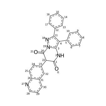 O=C1Nc2c(-c3ccccc3)c(-c3ccccc3)nn2C(=O)C1c1ccc2ncccc2c1